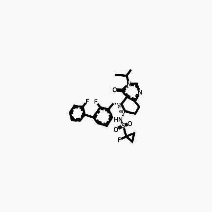 CC(C)n1cnc2c(c1=O)[C@@H](Cc1cccc(-c3ccccc3F)c1F)[C@@H](NS(=O)(=O)C1(F)CC1)CC2